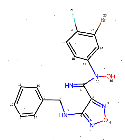 N=C(c1nonc1NCc1ccccc1)N(O)c1ccc(F)c(Br)c1